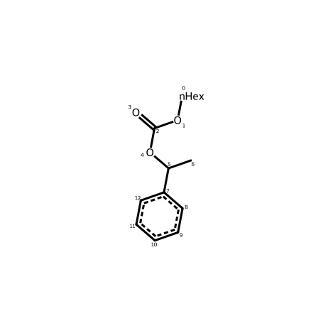 CCCCCCOC(=O)OC(C)c1ccccc1